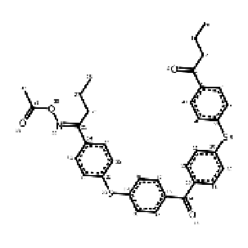 CCCC(=O)c1ccc(Sc2ccc(C(=O)c3ccc(Sc4ccc(/C(CCC)=N/OC(C)=O)cc4)cc3)cc2)cc1